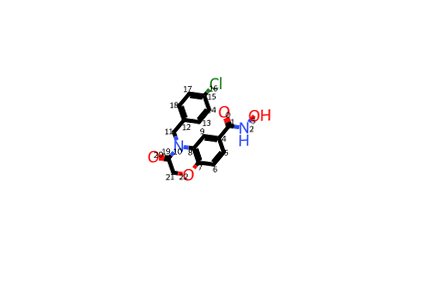 O=C(NO)c1ccc2c(c1)N(Cc1ccc(Cl)cc1)C(=O)CO2